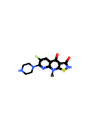 CCn1c2nc(N3CCNCC3)c(F)cc2c(=O)c2c(=O)[nH]sc21